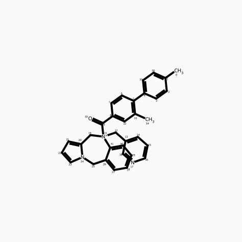 Cc1ccc(-c2ccc(C(=O)[N+]3(Cc4cccnc4)Cc4cccn4Cc4ccccc43)cc2C)cc1